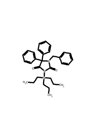 CCC[Si](CCC)(CCC)N1C(=O)N(Cc2ccccc2)C(c2ccccc2)(c2ccccc2)C1=O